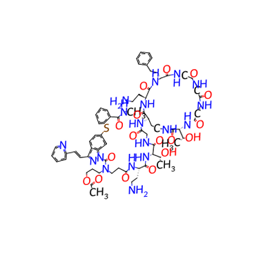 CNC(=O)c1ccccc1Sc1ccc2c(/C=C/c3ccccn3)nn(C(=O)N(CCCOC(C)=O)CCC(=O)N[C@@H](CCN)C(=O)N[C@H](C(=O)NCC(=O)N[C@H]3CCNC(=O)[C@@H]([C@@H](C)O)NC(=O)CNC(=O)CNC(=O)CNC(=O)[C@@H](CCc4ccccc4)NC(=O)[C@H](CCN)NC3=O)[C@@H](C)O)c2c1